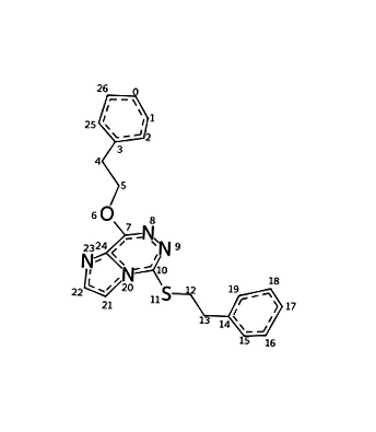 c1ccc(CCOc2nnc(SCCc3ccccc3)n3ccnc23)cc1